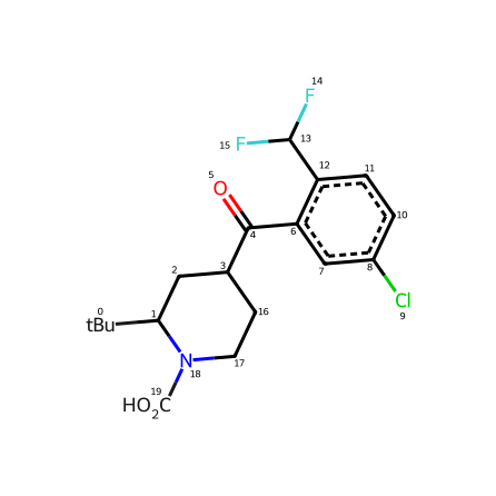 CC(C)(C)C1CC(C(=O)c2cc(Cl)ccc2C(F)F)CCN1C(=O)O